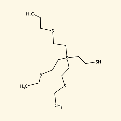 CCCSCCS(CCS)(CCSCC)CCSCC